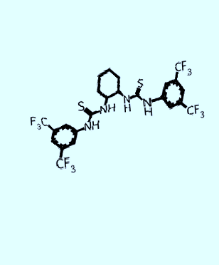 FC(F)(F)c1cc(NC(=S)NC2CCCCC2NC(=S)Nc2cc(C(F)(F)F)cc(C(F)(F)F)c2)cc(C(F)(F)F)c1